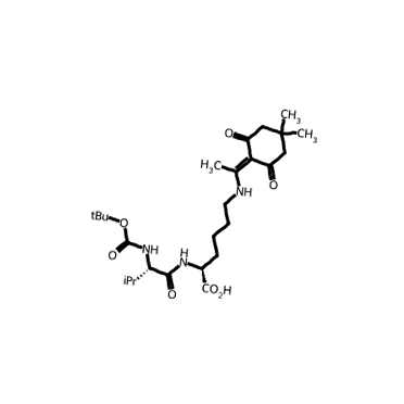 CC(NCCCC[C@H](NC(=O)[C@@H](NC(=O)OC(C)(C)C)C(C)C)C(=O)O)=C1C(=O)CC(C)(C)CC1=O